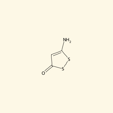 Nc1cc(=O)ss1